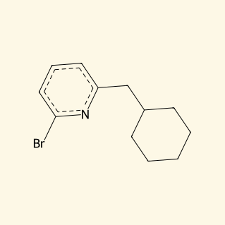 Brc1cccc(CC2CCCCC2)n1